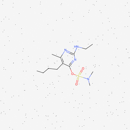 CCCCc1c(C)nc(NCC)nc1OS(=O)(=O)N(C)C